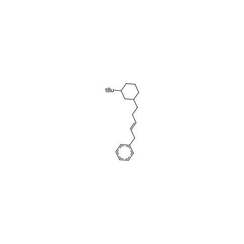 CC(C)(C)C1CCCC(CC/C=C/Cc2ccccc2)C1